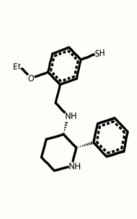 CCOc1ccc(S)cc1CN[C@H]1CCCN[C@H]1c1ccccc1